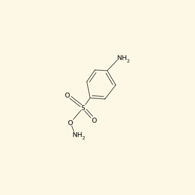 NOS(=O)(=O)c1ccc(N)cc1